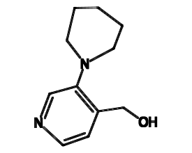 OCc1ccncc1N1CCCCC1